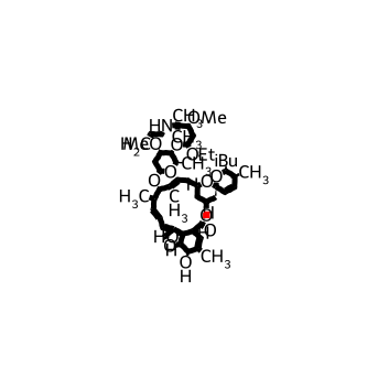 C=CCNC(C)(C)[C@H](CC(OCC)O[C@H]1[C@H](C)OC(O[C@@H]2/C(C)=C/C[C@@H]3C[C@@H](C[C@]4(C=C[C@H](C)[C@@H](C(C)CC)O4)O3)OC(=O)[C@@H]3C=C(C)[C@@H](O)[C@H]4OC/C(=C\C=C\C2C)[C@]43O)C[C@@H]1OC)OC